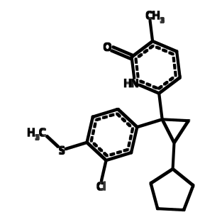 CSc1ccc(C2(c3ccc(C)c(=O)[nH]3)CC2C2CCCC2)cc1Cl